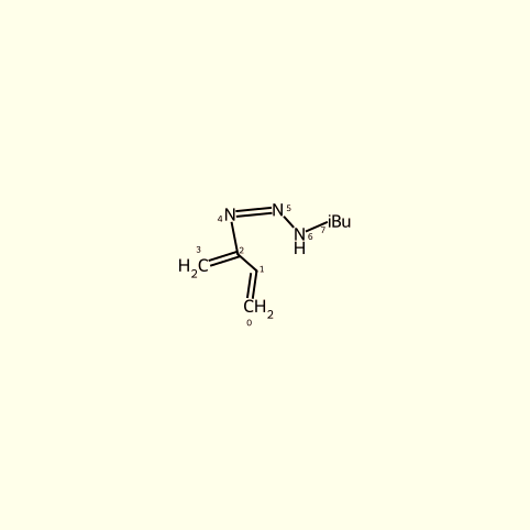 C=CC(=C)/N=N\NC(C)CC